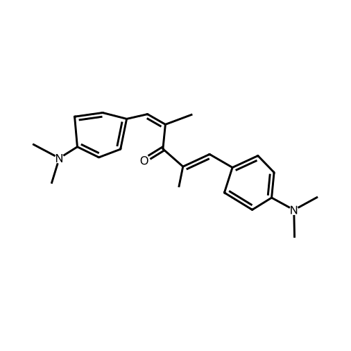 CC(=Cc1ccc(N(C)C)cc1)C(=O)C(C)=Cc1ccc(N(C)C)cc1